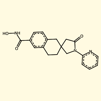 O=C(NO)c1ccc2c(c1)CCC1(CC(=O)N(c3ccccn3)C1)C2